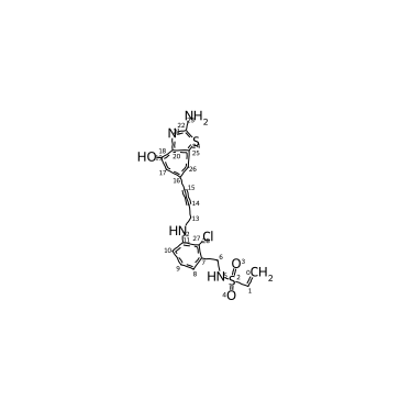 C=CS(=O)(=O)NCc1cccc(NCC#Cc2cc(O)c3nc(N)sc3c2)c1Cl